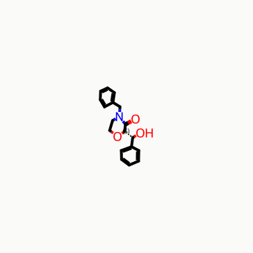 O=C1[C@H](C(O)c2ccccc2)OCCN1Cc1ccccc1